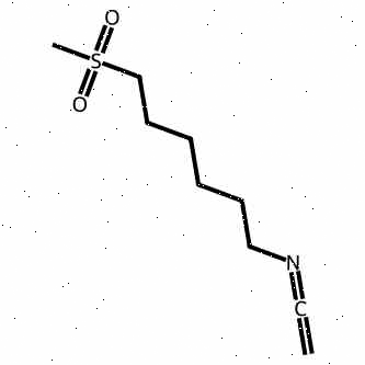 C=C=NCCCCCCS(C)(=O)=O